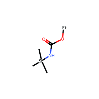 CCOC(=O)N[Si](C)(C)C